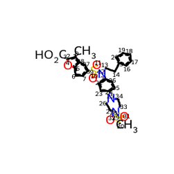 Cc1c(C(=O)O)oc2ccc(S(=O)(=O)N(CCc3ccccc3)c3ccc(N4CCN(S(C)(=O)=O)CC4)cc3)cc12